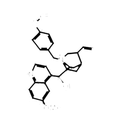 C=CC1C[N+]2(Cc3ccc(OC(F)(F)F)cc3)CCC1CC2[C@@H](O)c1ccnc2ccc(OC)cc12